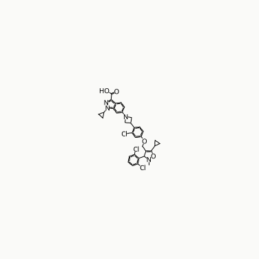 CN1OC(C2CC2)=C(COc2ccc(C3CN(c4ccc5c(C(=O)O)nn(C6CC6)c5c4)C3)c(Cl)c2)C1c1c(Cl)cccc1Cl